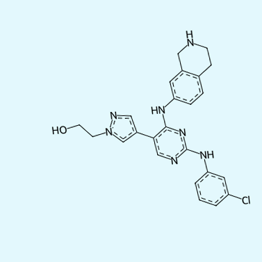 OCCn1cc(-c2cnc(Nc3cccc(Cl)c3)nc2Nc2ccc3c(c2)CNCC3)cn1